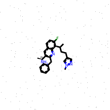 CC(CCc1cnn(C)c1)c1c(F)ccc2cc([C@H](C)N)c(Cc3ccccc3)nc12